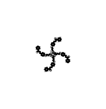 C[Si]1(CCCOc2ccc(C=CC(=O)c3ccccc3)cc2)O[Si](C)(CCCOc2ccc(C=CC(=O)c3ccccc3)cc2)O[Si](C)(CCCOc2ccc(C=CC(=O)c3ccccc3)cc2)O[Si](C)(CCCOc2ccc(C=CC(=O)c3ccccc3)cc2)O1